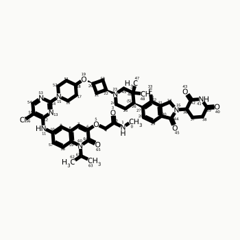 CNC(=O)COc1cc2cc(Nc3nc(N4CCC(O[C@H]5C[C@H](N6CC[C@H](c7ccc8c(c7F)CN(C7CCC(=O)NC7=O)C8=O)C(C)(C)C6)C5)CC4)ncc3Cl)ccc2n(C(C)C)c1=O